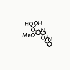 COc1cc2c(Oc3cc4ccccc4nc3C)ccnc2cc1OC(CO)CO